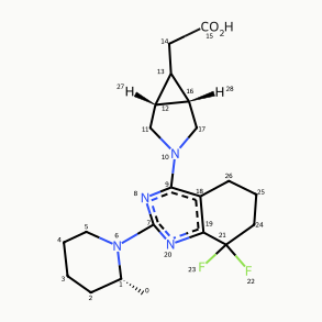 C[C@@H]1CCCCN1c1nc(N2C[C@@H]3C(CC(=O)O)[C@@H]3C2)c2c(n1)C(F)(F)CCC2